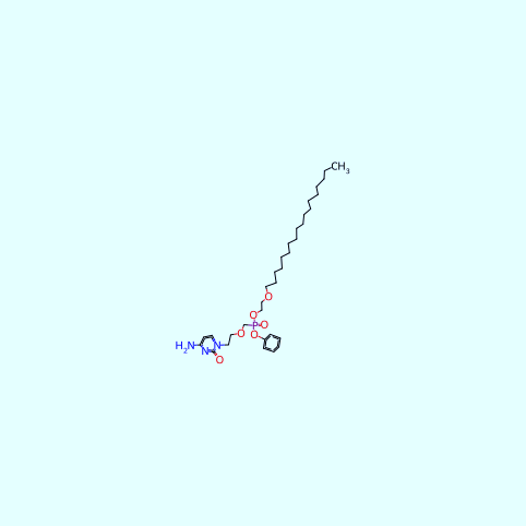 CCCCCCCCCCCCCCCCCCOCCOP(=O)(COCCn1ccc(N)nc1=O)Oc1ccccc1